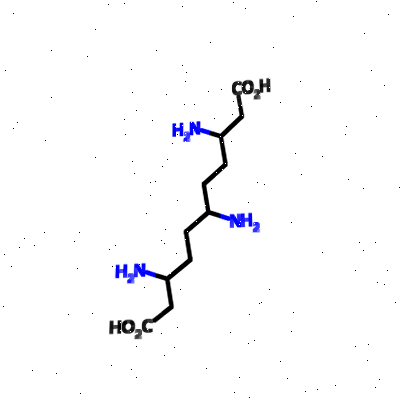 NC(CCC(N)CC(=O)O)CCC(N)CC(=O)O